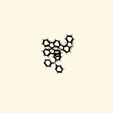 C1=CCCC(N(c2ccccc2)c2ccc(-n3c4ccc5oc6ccccc6c5c4c4ccc5c(c43)C3(c4ccccc4-c4ccccc43)c3ccccc3-5)cc2)=C1